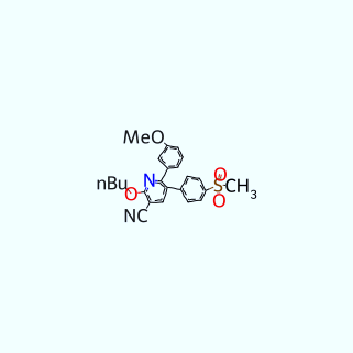 CCCCOc1nc(-c2cccc(OC)c2)c(-c2ccc(S(C)(=O)=O)cc2)cc1C#N